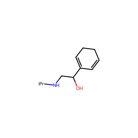 CC(C)NCC(O)C1=CCCC=C1